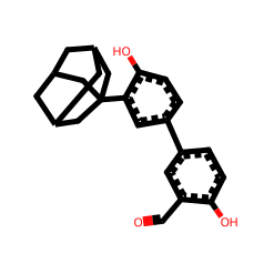 O=Cc1cc(-c2ccc(O)c(C34CC5CC(CC(C5)C3)C4)c2)ccc1O